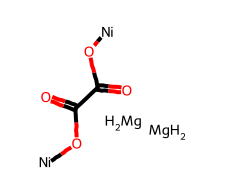 O=C([O][Ni])C(=O)[O][Ni].[MgH2].[MgH2]